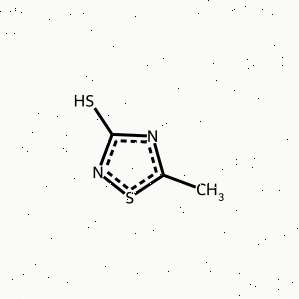 Cc1nc(S)ns1